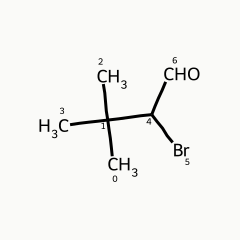 CC(C)(C)C(Br)C=O